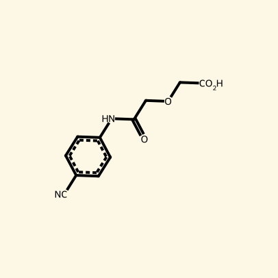 N#Cc1ccc(NC(=O)COCC(=O)O)cc1